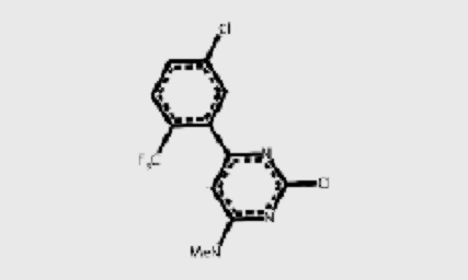 CNc1[c]c(-c2cc(Cl)ccc2C(F)(F)F)nc(Cl)n1